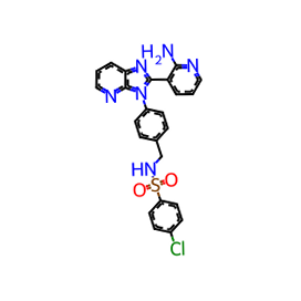 Nc1ncccc1-c1nc2cccnc2n1-c1ccc(CNS(=O)(=O)c2ccc(Cl)cc2)cc1